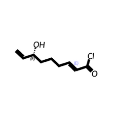 C=C[C@H](O)CCC/C=C/C(=O)Cl